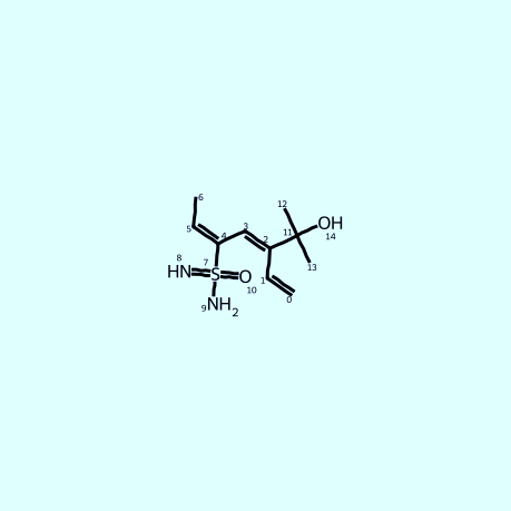 C=C/C(=C\C(=C/C)S(=N)(N)=O)C(C)(C)O